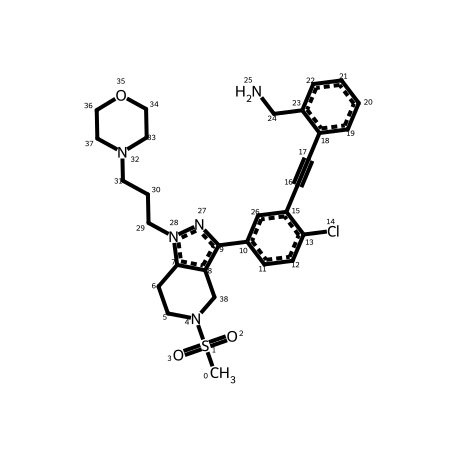 CS(=O)(=O)N1CCc2c(c(-c3ccc(Cl)c(C#Cc4ccccc4CN)c3)nn2CCCN2CCOCC2)C1